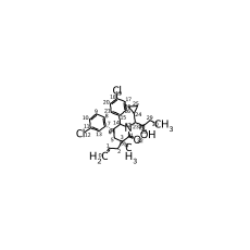 C=CC[C@@]1(C)C[C@H](c2cccc(Cl)c2)C(c2ccc(Cl)cc2)N(C(C2CC2)[C@H](O)CC)C1=O